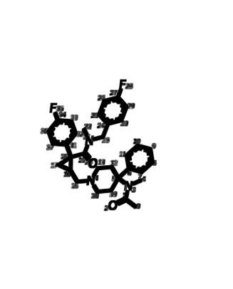 CC(=O)N(C)C1(c2ccccc2)CCN(CC2CC2(C(=O)N(C)Cc2ccc(F)cc2)c2ccc(F)cc2)CC1